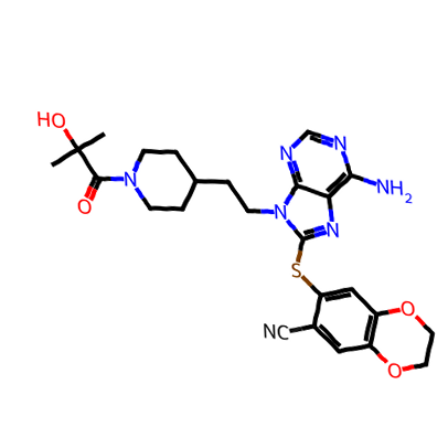 CC(C)(O)C(=O)N1CCC(CCn2c(Sc3cc4c(cc3C#N)OCCO4)nc3c(N)ncnc32)CC1